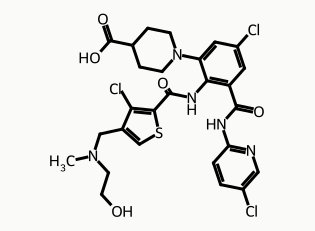 CN(CCO)Cc1csc(C(=O)Nc2c(C(=O)Nc3ccc(Cl)cn3)cc(Cl)cc2N2CCC(C(=O)O)CC2)c1Cl